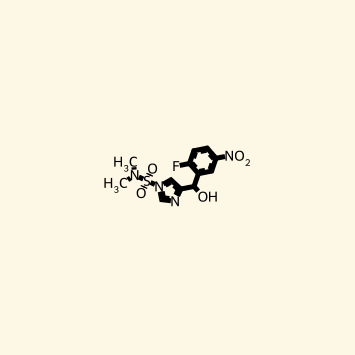 CN(C)S(=O)(=O)n1cnc(C(O)c2cc([N+](=O)[O-])ccc2F)c1